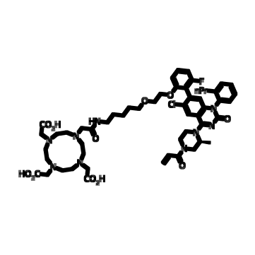 C=CC(=O)N1CCN(c2nc(=O)n(-c3ccccc3CCC)c3cc(-c4c(F)cccc4OCCOCCCCCNC(=O)CN4CCN(CC(=O)O)CCN(CC(=O)O)CCN(CC(=O)O)CC4)c(Cl)cc23)[C@@H](C)C1